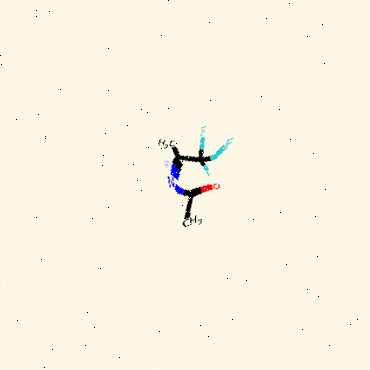 CC(=O)/N=C(/C)C(F)(F)F